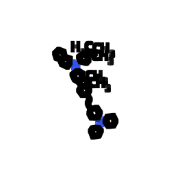 CC(C)(C)c1ccc(N(c2ccc3c(c2)C(C)(C)c2cc(/C=C/c4ccc(N(c5ccccc5)c5ccccc5)cc4)ccc2-3)c2ccc3ccccc3c2)cc1